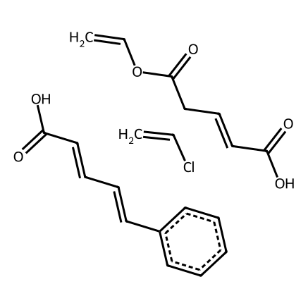 C=CCl.C=COC(=O)CC=CC(=O)O.O=C(O)C=CC=Cc1ccccc1